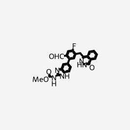 COC(=O)Nc1nc2cc(-c3cc(Cc4n[nH]c(=O)c5ccccc45)c(F)cc3C=O)ccc2[nH]1